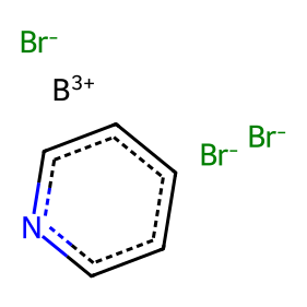 [B+3].[Br-].[Br-].[Br-].c1ccncc1